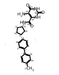 Cc1ccc(-c2ccc([C@@H]3CC[C@H](NC(=O)c4[nH]c(=O)[nH]c(=O)c4N)C3)cc2)cc1